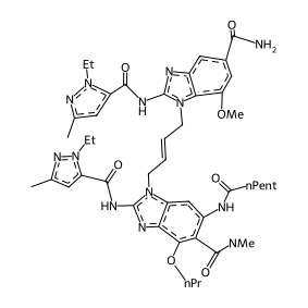 CCCCCC(=O)Nc1cc2c(nc(NC(=O)c3cc(C)nn3CC)n2CC=CCn2c(NC(=O)c3cc(C)nn3CC)nc3cc(C(N)=O)cc(OC)c32)c(OCCC)c1C(=O)NC